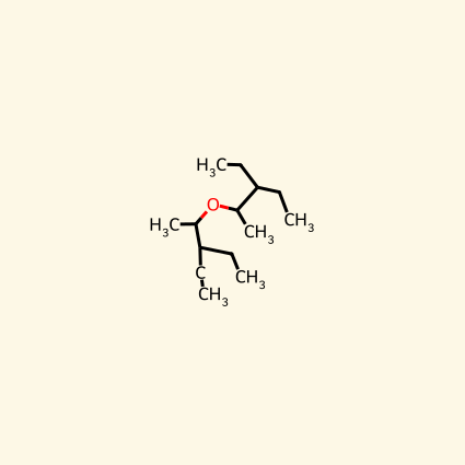 CCC(CC)C(C)OC(C)C(CC)CC